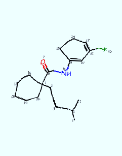 CC(C)CCC1(C(=O)NC2=CC(F)=CC[CH]2)CCCCC1